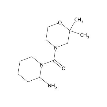 CC1(C)CN(C(=O)N2CCCCC2N)CCO1